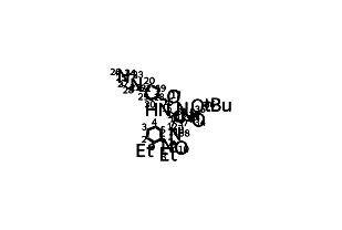 CCc1ccccc1N(CC)C(=O)N1Cc2c(NC(=O)c3ccc(N4CCN(C)CC4)cc3)nn(C(=O)OC(C)(C)C)c2C1